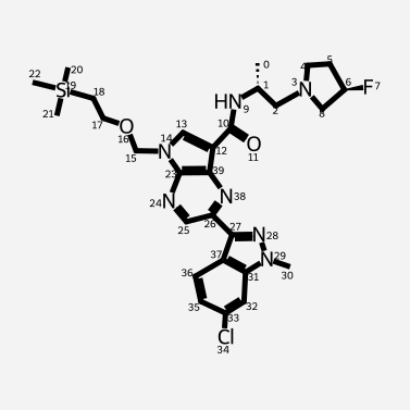 C[C@H](CN1CC[C@@H](F)C1)NC(=O)c1cn(COCC[Si](C)(C)C)c2ncc(-c3nn(C)c4cc(Cl)ccc34)nc12